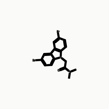 CN(C)C(=O)Cn1c2ccc(Br)cc2c2cc(Br)ccc21